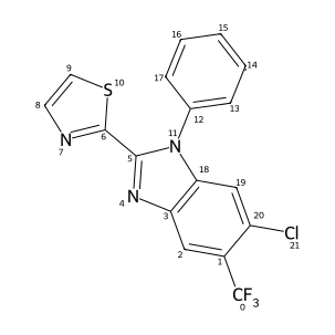 FC(F)(F)c1cc2nc(-c3nccs3)n(-c3c[c]ccc3)c2cc1Cl